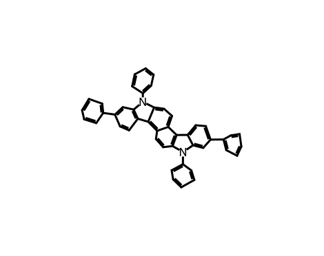 c1ccc(-c2ccc3c4c5ccc6c(c5ccc4n(-c4ccccc4)c3c2)c2ccc(-c3ccccc3)cc2n6-c2ccccc2)cc1